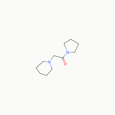 O=C(CN1CCCCC1)N1CCCC1